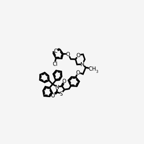 CC(COc1ccc(CC2SC(=O)N(C(c3ccccc3)(c3ccccc3)c3ccccc3)C2=O)cc1)N1CCOC(COc2cccc(Cl)c2)C1